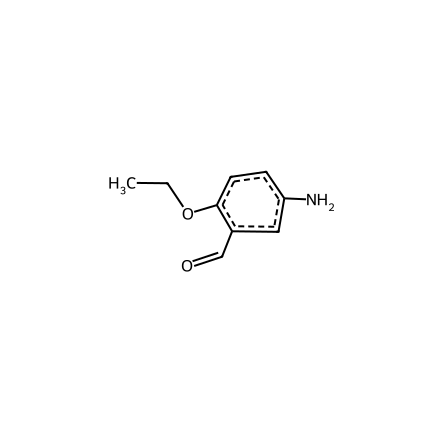 CCOc1ccc(N)cc1C=O